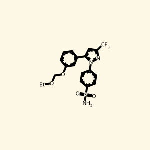 CCOCOc1cccc(-c2cc(C(F)(F)F)nn2-c2ccc(S(N)(=O)=O)cc2)c1